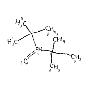 CC(C)(C)[PH](=O)C(C)(C)C